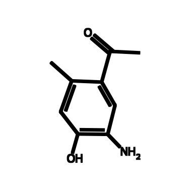 CC(=O)c1cc(N)c(O)cc1C